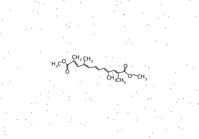 CCOC(=O)/C(C)=C/C(C)=C/C=C/C=C(C)/C=C(\C)C(=O)OC